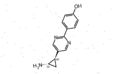 N[C@H]1C[C@@H]1c1cnc(-c2ccc(O)cc2)nc1